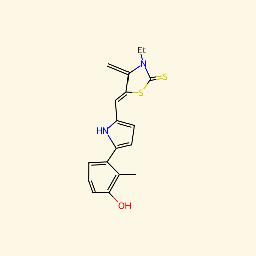 C=c1/c(=C/c2ccc(-c3cccc(O)c3C)[nH]2)sc(=S)n1CC